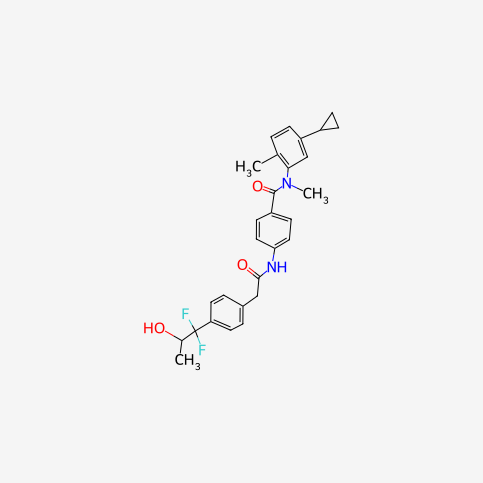 Cc1ccc(C2CC2)cc1N(C)C(=O)c1ccc(NC(=O)Cc2ccc(C(F)(F)C(C)O)cc2)cc1